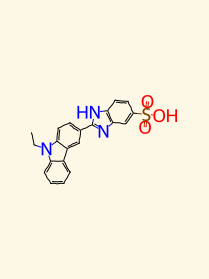 CCn1c2ccccc2c2cc(-c3nc4cc(S(=O)(=O)O)ccc4[nH]3)ccc21